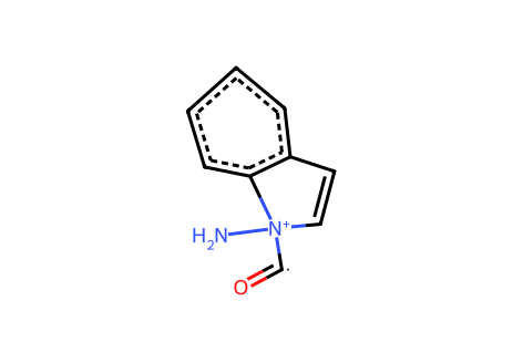 N[N+]1([C]=O)C=Cc2ccccc21